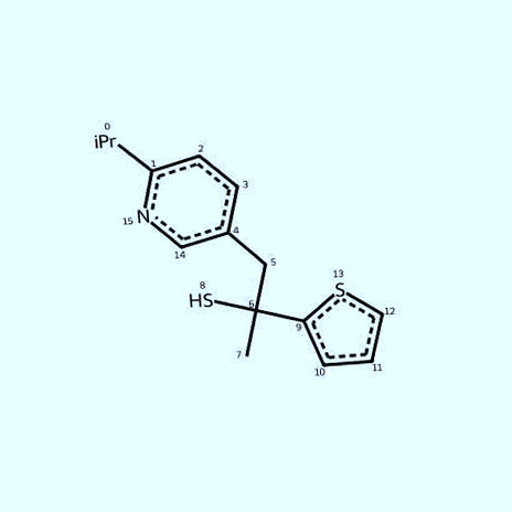 CC(C)c1ccc(CC(C)(S)c2cccs2)cn1